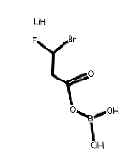 O=C(CC(F)Br)OB(O)O.[LiH]